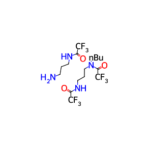 CCCCN(CCCNC(=O)C(F)(F)F)C(=O)C(F)(F)F.NCCCNC(=O)C(F)(F)F